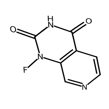 O=c1[nH]c(=O)n(F)c2cnccc12